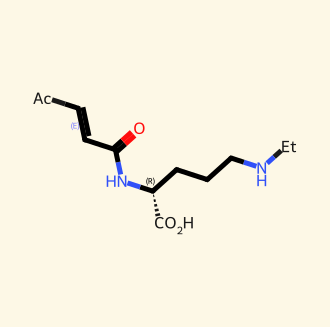 CCNCCC[C@@H](NC(=O)/C=C/C(C)=O)C(=O)O